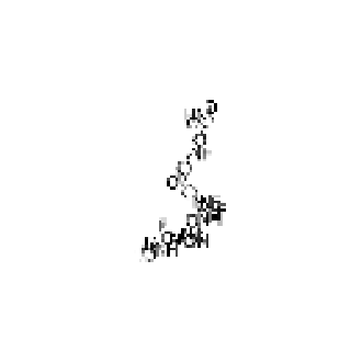 CC(C)(C)OC(=O)N[C@@H]1C[C@@H](F)CN(c2ccn3ncc(C(=O)Nc4cn(C5CCC(C(=O)N6CCC(CNc7ccc(C8CCC(=O)NC8=O)cc7)CC6)CC5)nc4C(F)(F)F)c3n2)C1